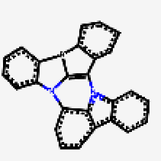 c1ccc2c(c1)B1C3=C2n2c4ccccc4c4cccc(c42)N3c2ccccc21